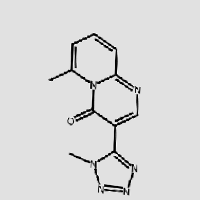 Cc1cccc2ncc(-c3nnnn3C)c(=O)n12